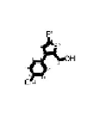 OCc1sc(F)cc1-c1ccc(Cl)cc1